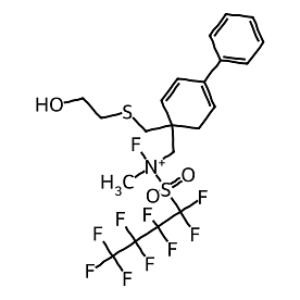 C[N+](F)(CC1(CSCCO)C=CC(c2ccccc2)=CC1)S(=O)(=O)C(F)(F)C(F)(F)C(F)(F)C(F)(F)F